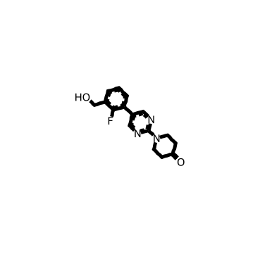 O=C1CCN(c2ncc(-c3cccc(CO)c3F)cn2)CC1